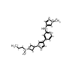 CCC[S+]([O-])N1CC(n2cc(-c3ccnc(Nc4cnn(C)c4)c3)cn2)C1